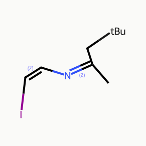 C/C(CC(C)(C)C)=N/C=C\I